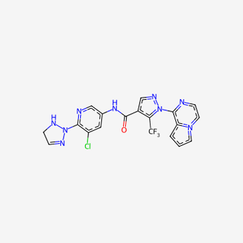 O=C(Nc1cnc(N2N=CCN2)c(Cl)c1)c1cnn(-c2nccn3cccc23)c1C(F)(F)F